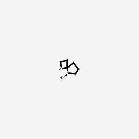 CN1CCCC12CCO2